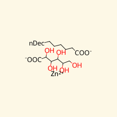 CCCCCCCCCCCCCCCC(=O)[O-].O=C([O-])C(O)C(O)C(O)C(O)CO.[Zn+2]